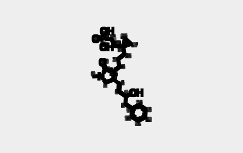 CN1C[C@H](C=CC(O)Cc2ccccc2)N(CCCC2(CCP(=O)(O)O)CC2)C1=O